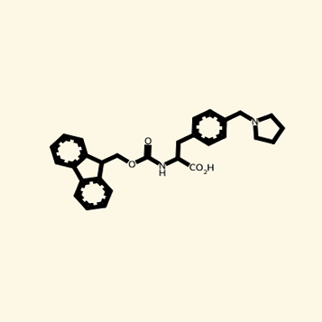 O=C(NC(Cc1ccc(CN2CCCC2)cc1)C(=O)O)OCC1c2ccccc2-c2ccccc21